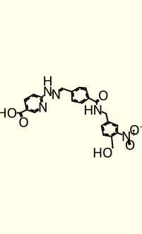 O=C(O)c1ccc(NN=Cc2ccc(C(=O)NCc3ccc(CO)c([N+](=O)[O-])c3)cc2)nc1